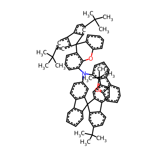 CC(C)(C)c1ccc2c(c1)C1(c3ccccc3-c3ccc(N(c4cccc5c4Oc4ccccc4C54c5cc(C(C)(C)C)ccc5-c5ccc(C(C)(C)C)cc54)c4cccc5c4oc4ccccc45)cc31)c1cc(C(C)(C)C)ccc1-2